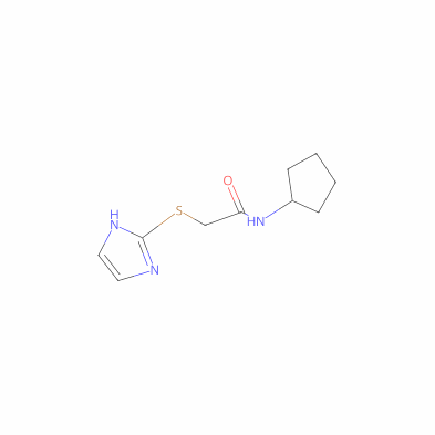 O=C(CSc1ncc[nH]1)NC1CCCC1